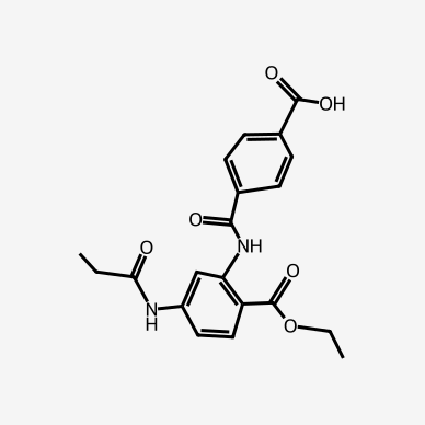 CCOC(=O)c1ccc(NC(=O)CC)cc1NC(=O)c1ccc(C(=O)O)cc1